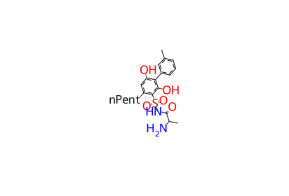 CCCCCc1cc(O)c(-c2cccc(C)c2)c(O)c1S(=O)(=O)NC(=O)C(C)N